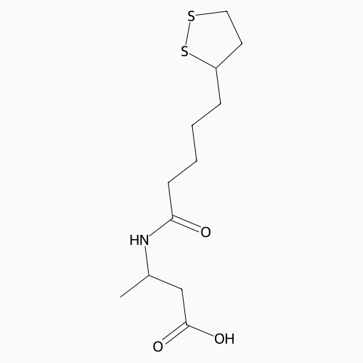 CC(CC(=O)O)NC(=O)CCCCC1CCSS1